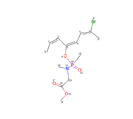 C\C=C/C(=C\C=C(/C)Br)OP(C)(=O)N(C)CC(=O)OC